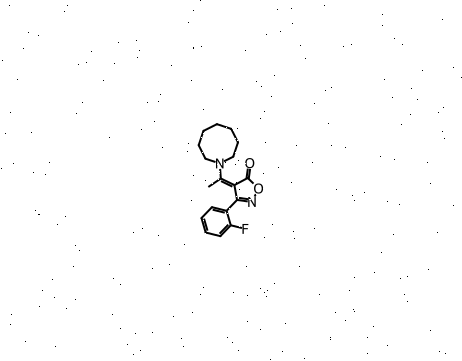 CC(=C1C(=O)ON=C1c1ccccc1F)N1CCCCCCC1